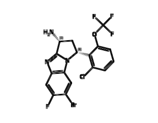 N[C@@H]1C[C@H](c2c(Cl)cccc2OC(F)(F)F)n2c1nc1cc(F)c(Br)cc12